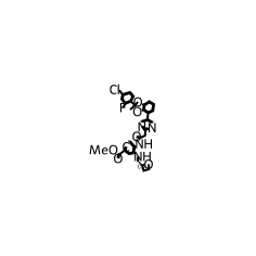 COC(=O)c1ccc(NC(=O)Cc2ncc(-c3cccc4c3OC(C)(c3ccc(Cl)cc3F)O4)cn2)c(NC[C@@H]2CCO2)c1